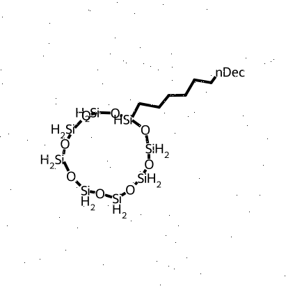 CCCCCCCCCCCCCCCC[SiH]1O[SiH2]O[SiH2]O[SiH2]O[SiH2]O[SiH2]O[SiH2]O[SiH2]O1